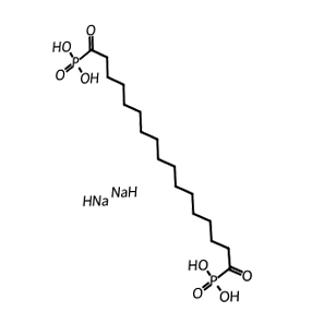 O=C(CCCCCCCCCCCCCCCC(=O)P(=O)(O)O)P(=O)(O)O.[NaH].[NaH]